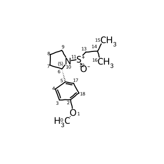 COc1ccc([C@@H]2CCCN2[S+]([O-])CC(C)C)cc1